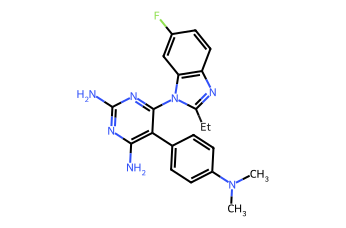 CCc1nc2ccc(F)cc2n1-c1nc(N)nc(N)c1-c1ccc(N(C)C)cc1